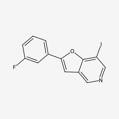 Fc1cccc(-c2cc3cncc(I)c3o2)c1